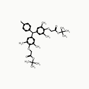 Cc1cc(C(c2ccc(I)cc2)c2cc(C)c(OCC(=O)OC(C)(C)C)c(C)c2)cc(C)c1OCC(=O)OC(C)(C)C